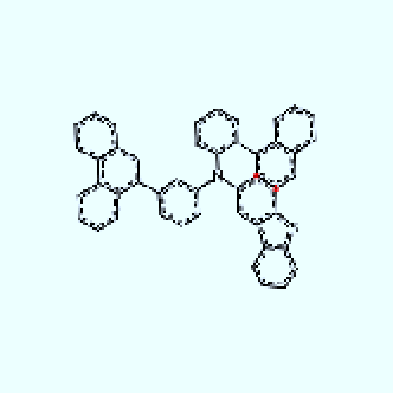 c1cc(-c2cc3ccccc3c3ccccc23)cc(N(c2ccc3sc4ccccc4c3c2)c2ccccc2-c2cccc3ccccc23)c1